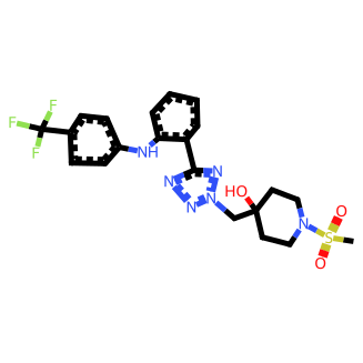 CS(=O)(=O)N1CCC(O)(Cn2nnc(-c3ccccc3Nc3ccc(C(F)(F)F)cc3)n2)CC1